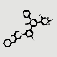 C/C=C(F)\C(=C/C1CCCCC1)COc1cc(Cl)cc(-c2cc(-c3c[nH]c(=O)[nH]c3=O)cn(-c3cccnc3)c2=O)c1